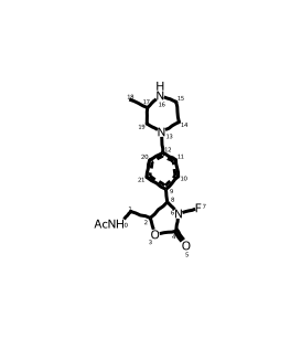 CC(=O)NCC1OC(=O)N(F)C1c1ccc(N2CCNC(C)C2)cc1